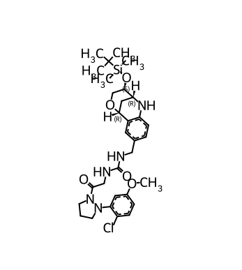 COc1ccc(Cl)c(N2CCCN2C(=O)CNC(=O)NCc2ccc3c(c2)[C@H]2C[C@@H](N3)[C@H](O[Si](C)(C)C(C)(C)C)CO2)c1